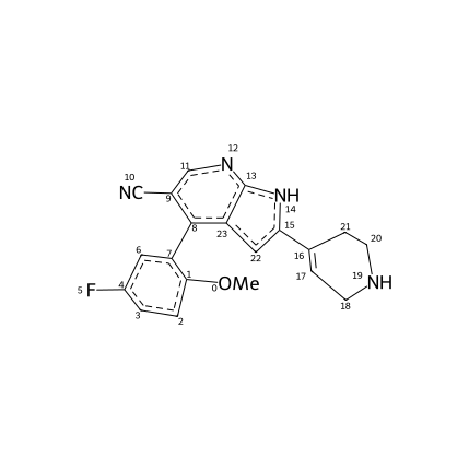 COc1ccc(F)cc1-c1c(C#N)cnc2[nH]c(C3=CCNCC3)cc12